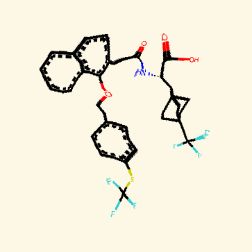 O=C(N[C@H](C(=O)O)C12CC(C(F)(F)F)(C1)C2)c1ccc2ccccc2c1OCc1ccc(SC(F)(F)F)cc1